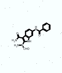 NC(=O)c1c(N(N)C=O)[nH]c2cc(NC(=O)c3ccccc3)ccc12